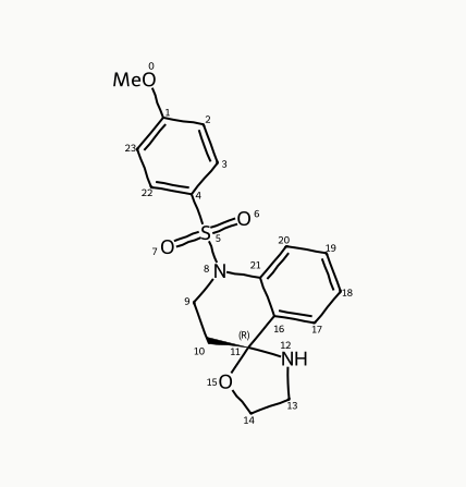 COc1ccc(S(=O)(=O)N2CC[C@]3(NCCO3)c3ccccc32)cc1